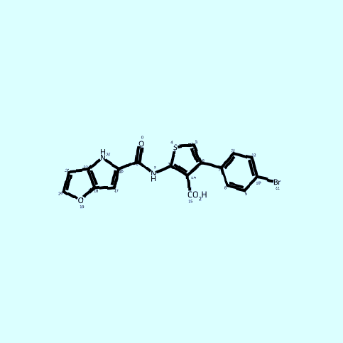 O=C(Nc1scc(-c2ccc(Br)cc2)c1C(=O)O)c1cc2occc2[nH]1